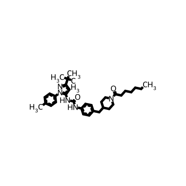 CCCCCCC(=O)N1CCC(Cc2ccc(NC(=O)Nc3cc(C(C)(C)C)nn3-c3ccc(C)cc3)cc2)CC1